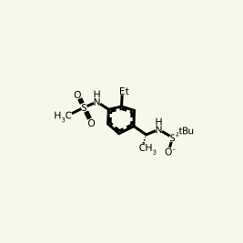 CCc1cc([C@@H](C)N[S@+]([O-])C(C)(C)C)ccc1NS(C)(=O)=O